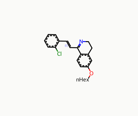 CCCCCCOc1ccc2c(c1)CCN=C2/C=C/c1ccccc1Cl